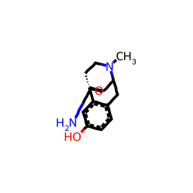 CN1CC[C@@]23CC(N)COC2C1Cc1ccc(O)cc13